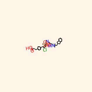 CN(C[C@H](O)CNC(C)(C)CC1Cc2ccccc2C1)S(=O)(=O)c1cc(Cl)c(-c2ccc(CCC(=O)O)cc2)s1